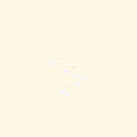 NC(=O)C(NC(=O)c1cc(NC2=NCC(F)CN2)c2cn[nH]c2c1)[C@@H](CC(=O)O)c1cccc(C(F)(F)F)c1F